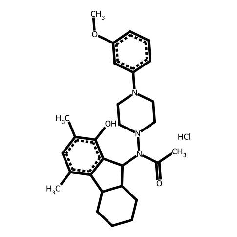 COc1cccc(N2CCN(N(C(C)=O)C3c4c(O)c(C)cc(C)c4C4CCCCC43)CC2)c1.Cl